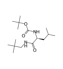 CC(C)C[C@H](NC(=O)OC(C)(C)C)C(=O)NCC(C)(C)C